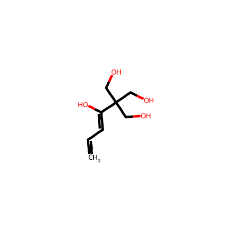 C=CC=C(O)C(CO)(CO)CO